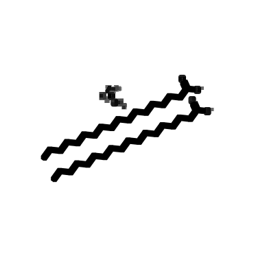 CCCCCCCCCCCCCCCCCC(=O)[O-].CCCCCCCCCCCCCCCCCC(=O)[O-].O.O.[Zn+2]